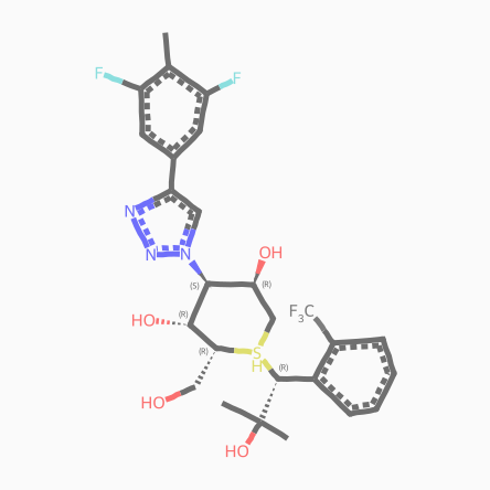 Cc1c(F)cc(-c2cn([C@@H]3[C@@H](O)[C@@H](CO)[SH]([C@H](c4ccccc4C(F)(F)F)C(C)(C)O)C[C@@H]3O)nn2)cc1F